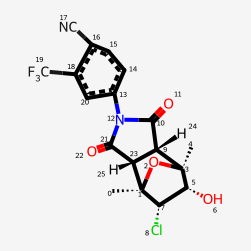 C[C@]12O[C@](C)([C@H](O)[C@@H]1Cl)[C@H]1C(=O)N(c3ccc(C#N)c(C(F)(F)F)c3)C(=O)[C@H]12